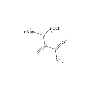 C=C(C(N)=O)C(CCCCCCCC)CCCCCCCCC